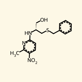 Cc1nc(N[C@H](CO)CSCc2ccccc2)ccc1[N+](=O)[O-]